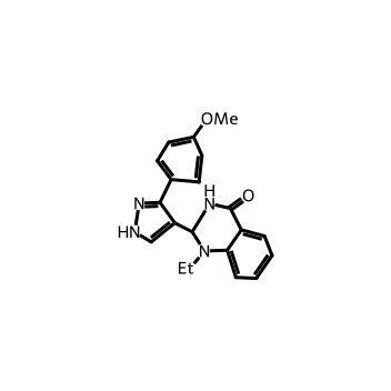 CCN1c2ccccc2C(=O)NC1c1c[nH]nc1-c1ccc(OC)cc1